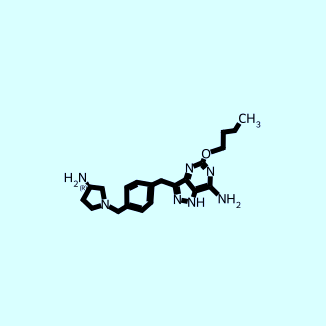 CCCCOc1nc(N)c2[nH]nc(Cc3ccc(CN4CC[C@@H](N)C4)cc3)c2n1